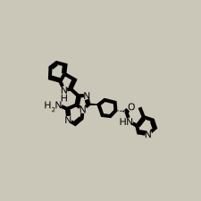 Cc1ccncc1NC(=O)[C@H]1CC[C@H](c2nc(-c3cc4ccccc4[nH]3)c3c(N)nccn32)CC1